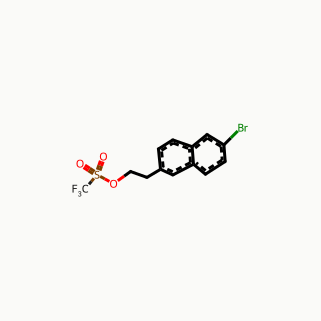 O=S(=O)(OCCc1ccc2cc(Br)ccc2c1)C(F)(F)F